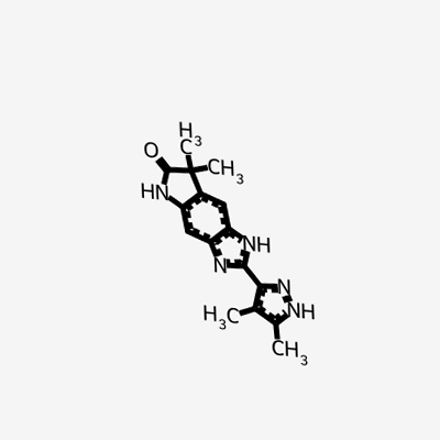 Cc1[nH]nc(-c2nc3cc4c(cc3[nH]2)C(C)(C)C(=O)N4)c1C